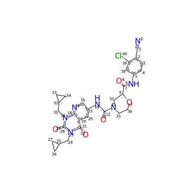 N#Cc1ccc(NC(=O)C2CN(C(=O)Nc3cnc4c(c3)c(=O)n(CC3CC3)c(=O)n4CC3CC3)CCO2)cc1Cl